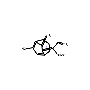 C=C/C(NC(C)=O)=c1/c2cc(O)c(c1=C)CCC2